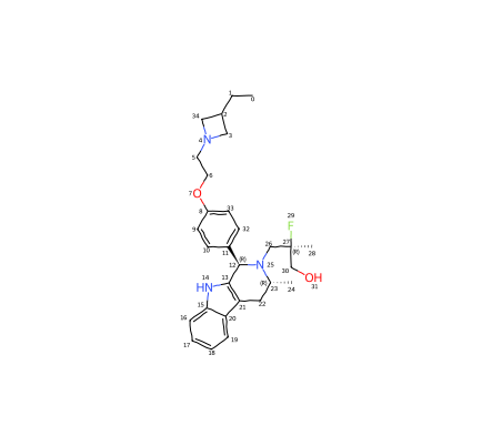 CCC1CN(CCOc2ccc([C@@H]3c4[nH]c5ccccc5c4C[C@@H](C)N3C[C@@](C)(F)CO)cc2)C1